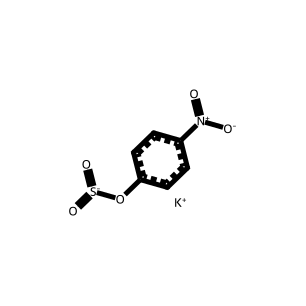 O=[N+]([O-])c1ccc(O[S-](=O)=O)cc1.[K+]